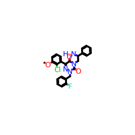 COc1cccc(-c2nn(Cc3ccccc3F)c(=O)n(CC(N)c3ccccc3)c2=O)c1Cl